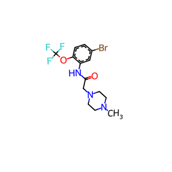 CN1CCN(CC(=O)Nc2cc(Br)ccc2OC(F)(F)F)CC1